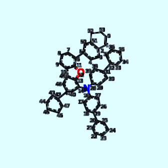 C1=Cc2ccc(-c3cccc4c3oc3c(N(c5ccc(-c6ccccc6)cc5)c5ccc(-c6ccccc6)cc5)cc(-c5ccccc5)cc34)cc2CC1